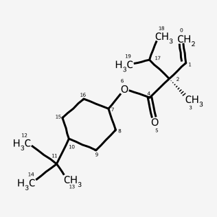 C=C[C@@](C)(C(=O)OC1CCC(C(C)(C)C)CC1)C(C)C